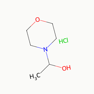 CC(O)N1CCOCC1.Cl